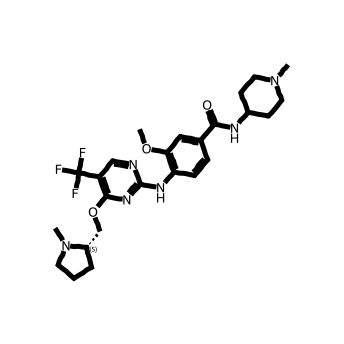 COc1cc(C(=O)NC2CCN(C)CC2)ccc1Nc1ncc(C(F)(F)F)c(OC[C@@H]2CCCN2C)n1